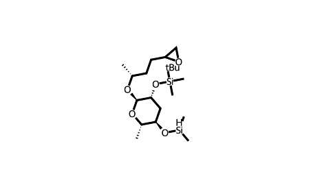 C[C@H](CCC1CO1)O[C@@H]1O[C@@H](C)[C@H](O[SiH](C)C)C[C@H]1O[Si](C)(C)C(C)(C)C